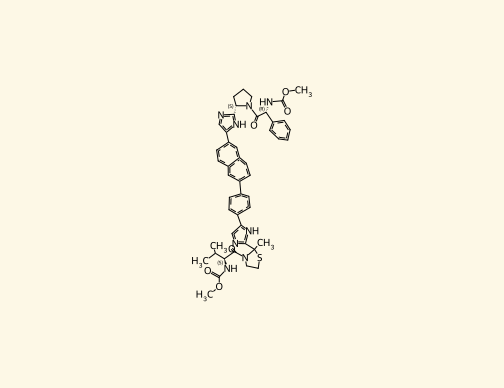 COC(=O)N[C@H](C(=O)N1CCSC1(C)c1ncc(-c2ccc(-c3ccc4cc(-c5cnc([C@@H]6CCCN6C(=O)[C@H](NC(=O)OC)c6ccccc6)[nH]5)ccc4c3)cc2)[nH]1)C(C)C